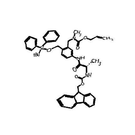 C=CCOC(=O)N(C)Cc1cc(NC(=O)[C@H](C)NC(=O)OCC2c3ccccc3-c3ccccc32)ccc1CO[Si](c1ccccc1)(c1ccccc1)C(C)(C)C